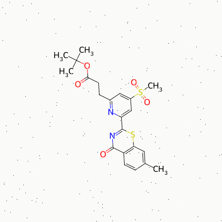 Cc1ccc2c(=O)nc(-c3cc(S(C)(=O)=O)cc(CCC(=O)OC(C)(C)C)n3)sc2c1